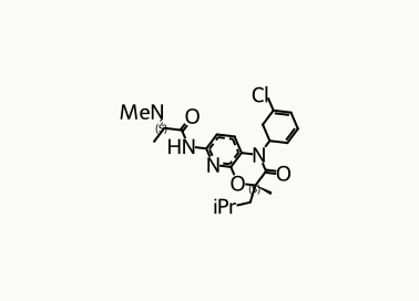 CN[C@@H](C)C(=O)Nc1ccc2c(n1)O[C@@](C)(CC(C)C)C(=O)N2C1C=CC=C(Cl)C1